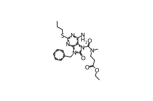 CCCSc1nc(N)c2c(n1)n(Cc1ccccc1)c(=O)n2C(=O)N(C)CCC(=O)OCC